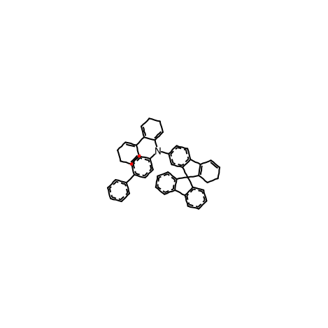 C1=CC(C2=CCCC=C2N(c2ccc(-c3ccccc3)cc2)c2ccc3c(c2)C2(C4=C3C=CCC4)c3ccccc3-c3ccccc32)=CCC1